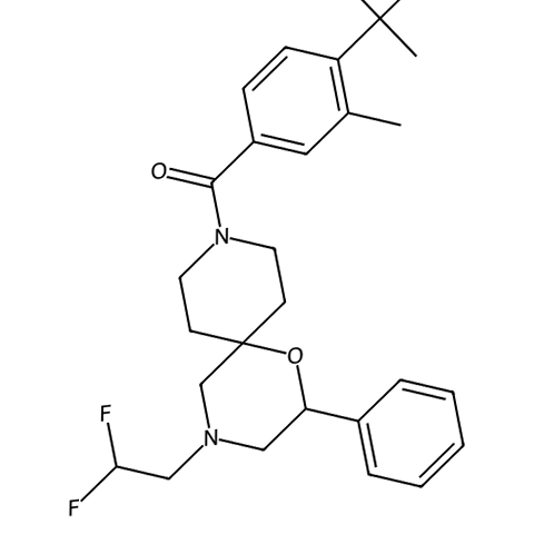 Cc1cc(C(=O)N2CCC3(CC2)CN(CC(F)F)CC(c2ccccc2)O3)ccc1C(C)(C)O